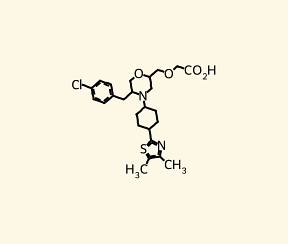 Cc1nc(C2CCC(N3CC(COCC(=O)O)OCC3Cc3ccc(Cl)cc3)CC2)sc1C